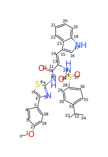 COc1ccc(-c2csc(NC(=O)C(=Cc3c[nH]c4ccccc34)NS(=O)(=O)c3ccc(C(C)C)cc3)n2)cc1